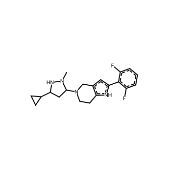 CN1NC(C2CC2)CC1N1CCc2[nH]c(-c3c(F)cccc3F)cc2C1